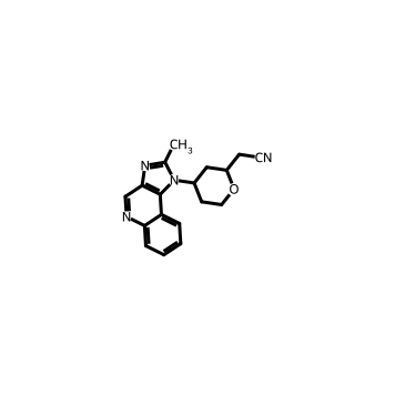 Cc1nc2cnc3ccccc3c2n1C1CCOC(CC#N)C1